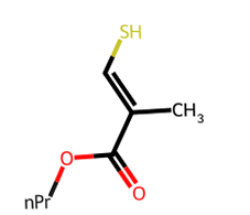 CCCOC(=O)C(C)=CS